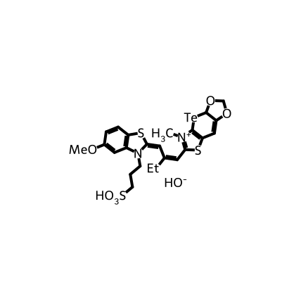 CCC(=Cc1sc2c([n+]1C)[Te]C1OCOC1=C2)C=C1Sc2ccc(OC)cc2N1CCCS(=O)(=O)O.[OH-]